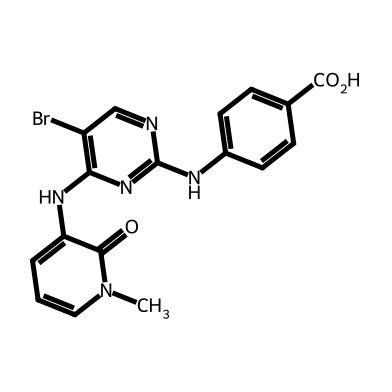 Cn1cccc(Nc2nc(Nc3ccc(C(=O)O)cc3)ncc2Br)c1=O